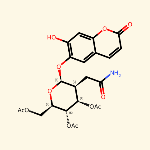 CC(=O)OC[C@H]1O[C@@H](Oc2cc3ccc(=O)oc3cc2O)[C@@H](CC(N)=O)[C@@H](OC(C)=O)[C@@H]1OC(C)=O